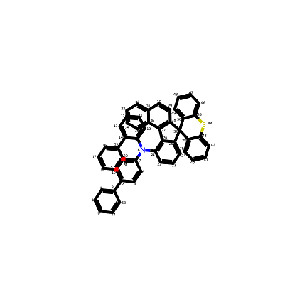 c1ccc(-c2ccc(N(c3ccccc3-c3ccccc3)c3cccc4c3-c3c(ccc5ccccc35)C43c4ccccc4Sc4ccccc43)cc2)cc1